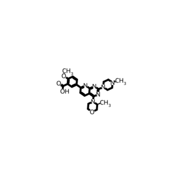 COc1ccc(-c2ccc3c(N4CCOC[C@@H]4C)nc(N4CCN(C)CC4)nc3n2)cc1C(=O)O